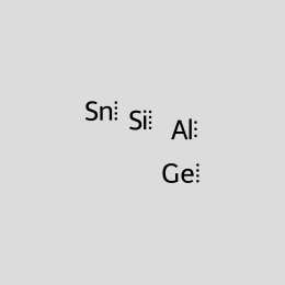 [Al].[Ge].[Si].[Sn]